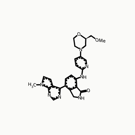 COC[C@H]1CN(c2ccc(Nc3ccc(-c4ncnc5c4ccn5C)c4c3C(=O)NC4)nc2)CCO1